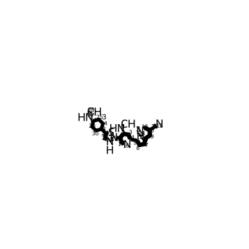 CNc1cc(-c2ccc3cc(C#N)cnn23)ncc1N1NC=C(C2CCC(NC)CC2)S1